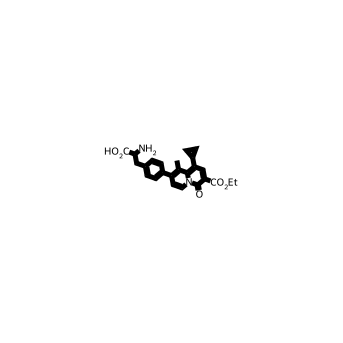 CCOC(=O)c1cc(C2CC2)c2c(C)c(-c3ccc(CC(N)C(=O)O)cc3)ccn2c1=O